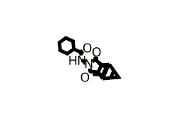 CC1=C(C)C2C3CC3C1C1C(=O)N(NC(=O)C3CCCCC3)C(=O)C21